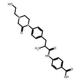 NC(Cc1ccc(N2CCN(CCO)CC2=O)cc1)C(=O)Nc1ccc(C(=O)O)cc1